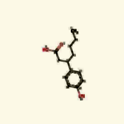 CCCCC(CC(=O)O)c1ccc(O)cc1